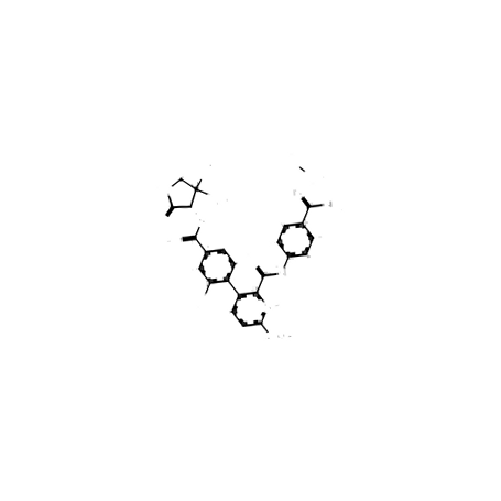 COc1ccc(-c2ccc(C(=O)N[C@@H]3C(=O)OCC3(C)C)cc2C(=O)O)c(C(=O)Nc2ccc(C(=N)N)cc2)n1.CS(=O)(=O)O